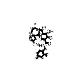 Cc1ccc(CNC(=O)c2cn3c(c(O)c2=O)C(=O)N2CC3[C@]3(CC[C@@H]2C)CC(C#N)=NO3)c(F)c1